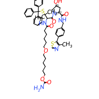 Cc1ncsc1-c1ccc(CNC(=O)[C@@H]2C[C@@H](O)CN2C(=O)C(NC(=O)CCCCCOCCCCCCOC(N)=O)C(C)(C)SC(c2ccccc2)(c2ccccc2)c2ccccc2)cc1